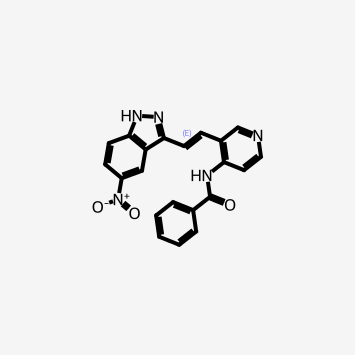 O=C(Nc1ccncc1/C=C/c1n[nH]c2ccc([N+](=O)[O-])cc12)c1ccccc1